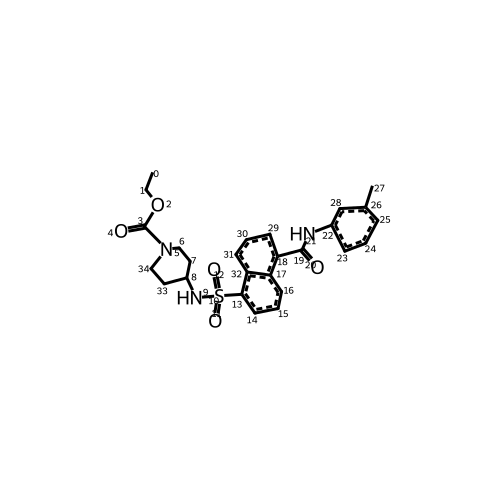 CCOC(=O)N1CCC(NS(=O)(=O)c2cccc3c(C(=O)Nc4cccc(C)c4)cccc23)CC1